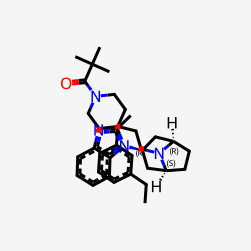 CCc1cccc(C2(CCN3[C@@H]4CC[C@H]3C[C@@H](n3c(C)nc5ccccc53)C4)CCN(C(=O)C(C)(C)C)CC2)c1